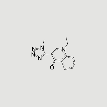 CCn1cc(-c2nnnn2C)c(=O)c2ccccc21